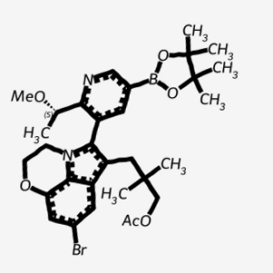 CO[C@@H](C)c1ncc(B2OC(C)(C)C(C)(C)O2)cc1-c1c(CC(C)(C)COC(C)=O)c2cc(Br)cc3c2n1CCO3